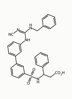 N#C/N=C(/NCc1ccccc1)Nc1cccc(-c2cccc(S(=O)(=O)NC(CC(=O)O)c3ccccc3)c2)c1